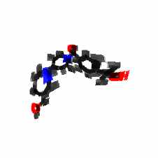 COCC1CCCN(C2CCN(C(=O)c3ccc(C(C)(C)O)cc3)CC2)C1